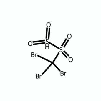 O=[SH](=O)S(=O)(=O)C(Br)(Br)Br